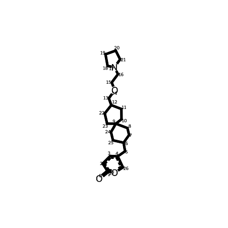 O=c1ccc(CC2CCC3(CCC(COCCN4CCCC4)CC3)CC2)co1